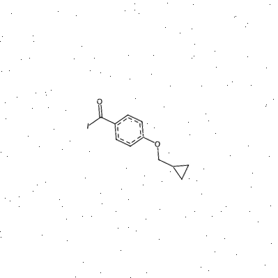 O=C(I)c1ccc(OCC2CC2)cc1